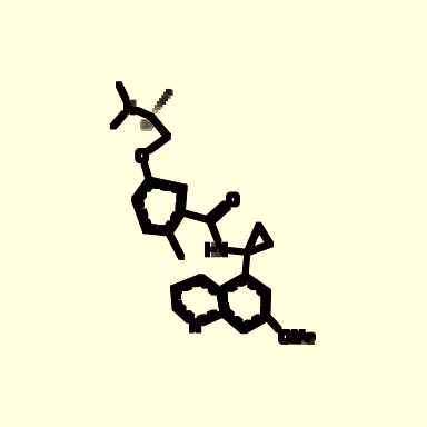 COc1cc(C2(NC(=O)c3cc(OC[C@@H](C)N(C)C)ccc3C)CC2)c2cccnc2c1